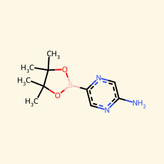 CC1(C)OB(c2cnc(N)cn2)OC1(C)C